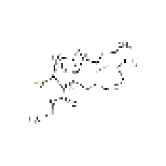 C=C(C)/C(C(=O)OCC)=C(/CC1CCC(C)COC1)[C@@H]1C2(C)C[C@]12CCCC